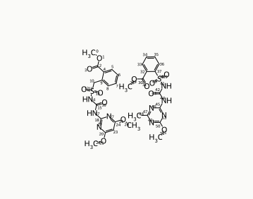 COC(=O)c1ccccc1CS(=O)(=O)NC(=O)Nc1nc(OC)cc(OC)n1.COC(=O)c1ccccc1S(=O)(=O)NC(=O)Nc1nc(C)nc(OC)n1